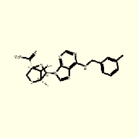 CNC(=O)[C@@]12CO[C@@H](C1O)[C@H](n1cnc3c(NCc4cccc(I)c4)ncnc31)O2